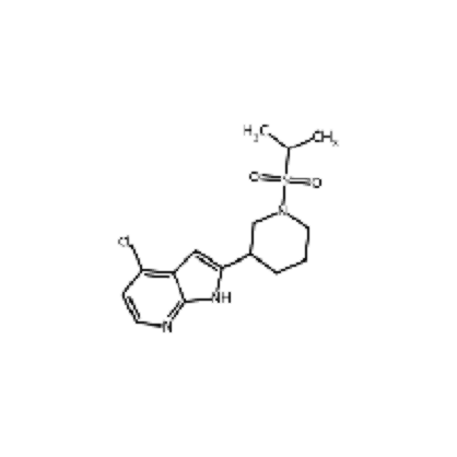 CC(C)S(=O)(=O)N1CCCC(c2cc3c(Cl)ccnc3[nH]2)C1